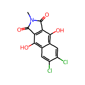 CN1C(=O)c2c(c(O)c3cc(Cl)c(Cl)cc3c2O)C1=O